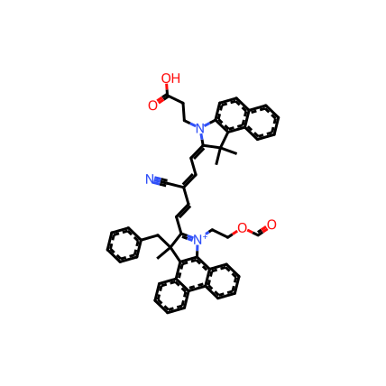 CC1(Cc2ccccc2)C(/C=C/C(C#N)=C/C=C2/N(CCC(=O)O)c3ccc4ccccc4c3C2(C)C)=[N+](CCOC=O)c2c1c1ccccc1c1ccccc21